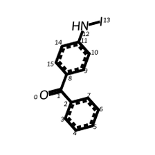 O=C(c1ccccc1)c1ccc(NI)cc1